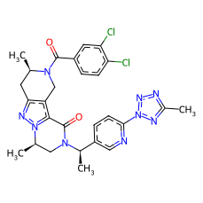 Cc1nnn(-c2ccc([C@@H](C)N3C[C@@H](C)n4nc5c(c4C3=O)CN(C(=O)c3ccc(Cl)c(Cl)c3)[C@H](C)C5)cn2)n1